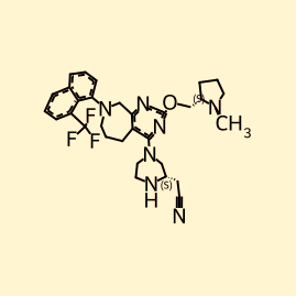 CN1CCC[C@H]1COc1nc2c(c(N3CCN[C@@H](CC#N)C3)n1)CCCN(c1cccc3cccc(C(F)(F)F)c13)C2